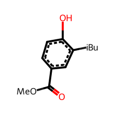 CCC(C)c1cc(C(=O)OC)ccc1O